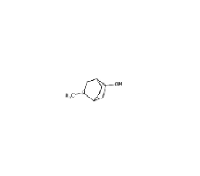 CN1CC2CCC1CC2O